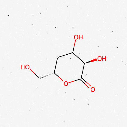 O=C1O[C@H](CO)CC(O)[C@H]1O